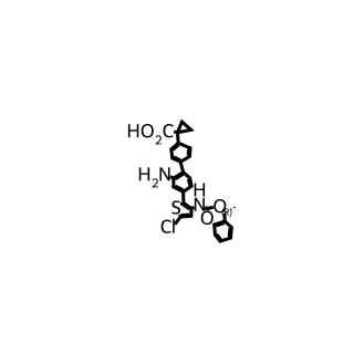 C[C@@H](OC(=O)Nc1cc(Cl)sc1-c1ccc(-c2ccc(C3(C(=O)O)CC3)cc2)c(N)c1)c1ccccc1